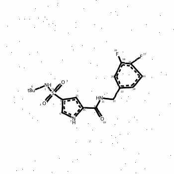 CC(C)(C)NS(=O)(=O)c1c[nH]c(C(=O)NCc2ccc(F)c(F)c2)c1